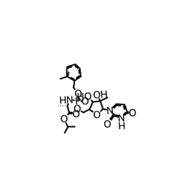 Cc1ccccc1CO[P@@](=O)(N[C@@H](C)C(=O)OC(C)C)OCC1OC(n2ccc(=O)[nH]c2=O)C(C)(O)C1O